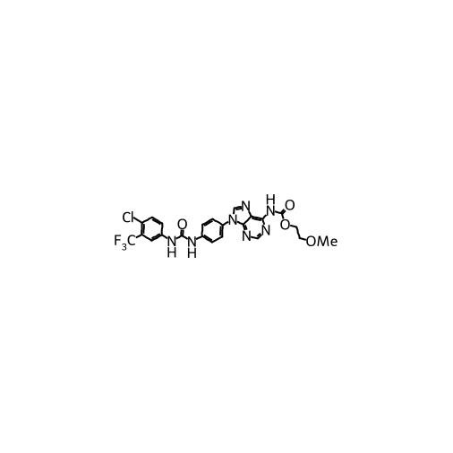 COCCOC(=O)Nc1ncnc2c1ncn2-c1ccc(NC(=O)Nc2ccc(Cl)c(C(F)(F)F)c2)cc1